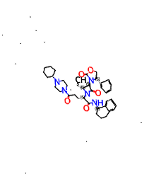 C=C[C@@H]1[C@H](N2C(=O)OC[C@@H]2c2ccccc2)C(=O)N1[C@@H](CCC(=O)N1CCN(C2CCCCC2)CC1)C(=O)N[C@@H]1CCCc2ccccc21